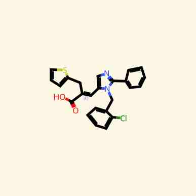 O=C(O)/C(=C/c1cnc(-c2ccccc2)n1Cc1ccccc1Cl)Cc1cccs1